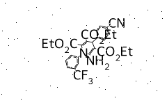 CCOC(=O)C1=C(N)N(c2cccc(C(F)(F)F)c2)C(C(=O)OCC)=C(C(=O)OCC)C1c1ccc(C#N)cc1